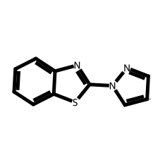 [c]1cnn(-c2nc3ccccc3s2)c1